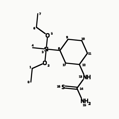 CCO[Si](C)(OCC)C1CCCC(NC(N)=S)C1